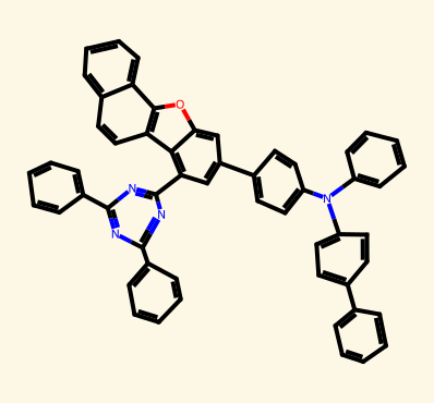 c1ccc(-c2ccc(N(c3ccccc3)c3ccc(-c4cc(-c5nc(-c6ccccc6)nc(-c6ccccc6)n5)c5c(c4)oc4c6ccccc6ccc45)cc3)cc2)cc1